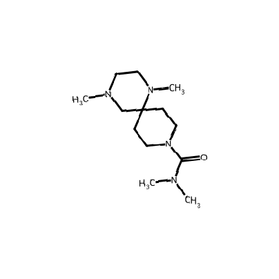 CN1CCN(C)C2(CCN(C(=O)N(C)C)CC2)C1